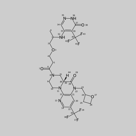 CC(COCCC(=O)N1CCN2c3ncc(C(F)(F)F)cc3N(CC3CCO3)C(=O)[C@H]2C1)Nc1cn[nH]c(=O)c1C(F)(F)F